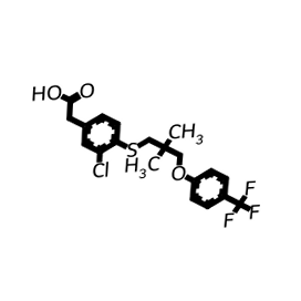 CC(C)(COc1ccc(C(F)(F)F)cc1)CSc1ccc(CC(=O)O)cc1Cl